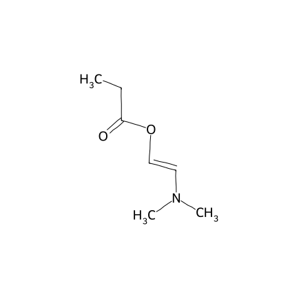 CCC(=O)OC=CN(C)C